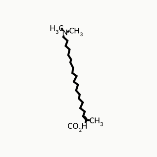 CC(=CCCCCCCCCCCCCCCCCCCN(C)C)C(=O)O